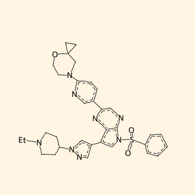 CCN1CCC(n2cc(-c3cn(S(=O)(=O)c4ccccc4)c4ncc(-c5ccc(N6CCOC7(CC7)C6)nc5)nc34)cn2)CC1